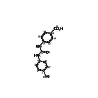 CCCc1ccc(NC(=O)Nc2ccc(C(=O)O)cc2)cc1